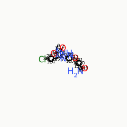 CCn1c(=O)[nH]/c(=N\c2ccc(Oc3ccc(C(N)=O)cc3)nc2)n(Cc2ccc(Cl)cc2)c1=O